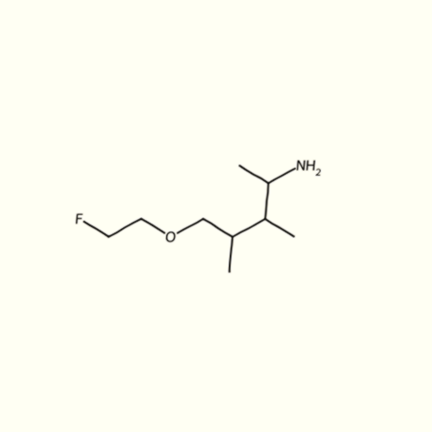 CC(N)C(C)C(C)COCCF